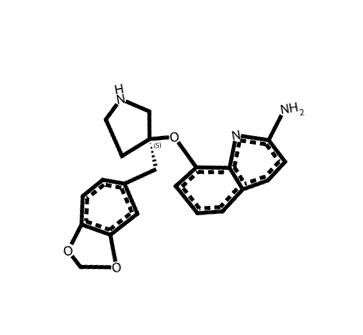 Nc1ccc2cccc(O[C@@]3(Cc4ccc5c(c4)OCO5)CCNC3)c2n1